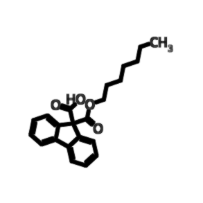 CCCCCCCOC(=O)C1(C(=O)O)c2ccccc2-c2ccccc21